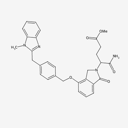 COC(=O)CCC(C(N)=O)N1Cc2c(OCc3ccc(Cc4nc5ccccc5n4C)cc3)cccc2C1=O